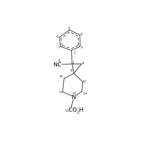 N#CC1(c2ccccc2)CC12CCN(C(=O)O)CC2